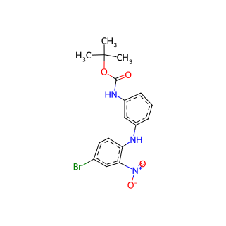 CC(C)(C)OC(=O)Nc1cccc(Nc2ccc(Br)cc2[N+](=O)[O-])c1